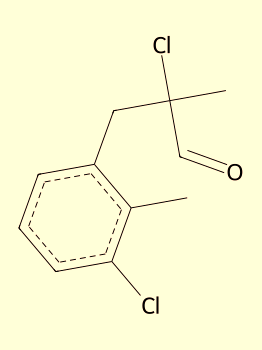 Cc1c(Cl)cccc1CC(C)(Cl)C=O